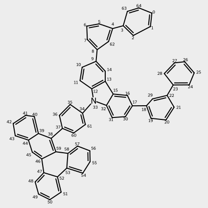 c1ccc(-c2cccc(-c3ccc4c(c3)c3cc(-c5cccc(-c6ccccc6)c5)ccc3n4-c3ccc(-c4c5ccccc5cc5c6ccccc6c6ccccc6c45)cc3)c2)cc1